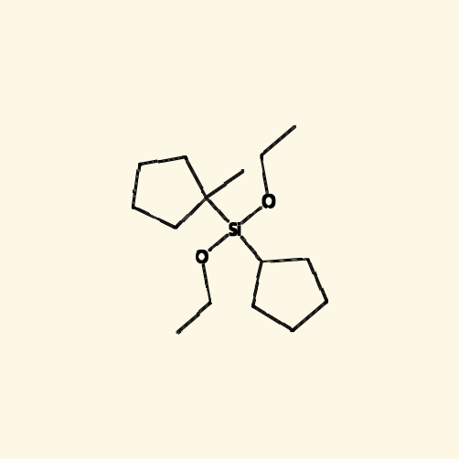 CCO[Si](OCC)(C1CCCC1)C1(C)CCCC1